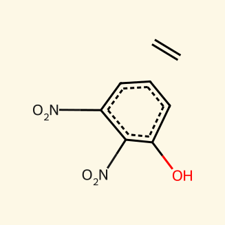 C=C.O=[N+]([O-])c1cccc(O)c1[N+](=O)[O-]